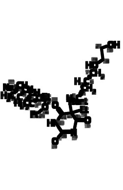 C=C.C=C.C=C.C=C.C=C.C=C.CCCC(C)C1(CC)C(=O)N=C([O-])NC1=O.CCOCC.OCCO.[Na+]